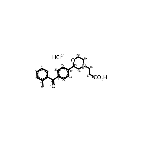 Cc1ccccc1C(=O)c1ccc(C2CN(CCC(=O)O)CCO2)cc1.Cl